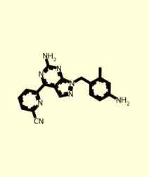 Cc1cc(N)ccc1Cn1ncc2c(-c3cccc(C#N)n3)nc(N)nc21